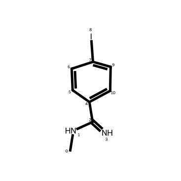 CNC(=N)c1ccc(I)cc1